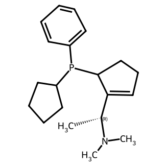 C[C@H](C1=CCCC1P(c1ccccc1)C1CCCC1)N(C)C